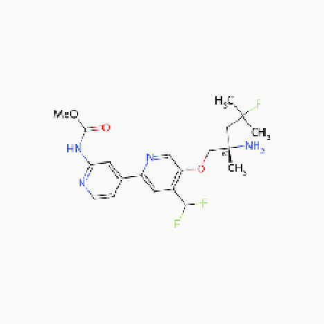 COC(=O)Nc1cc(-c2cc(C(F)F)c(OC[C@@](C)(N)CC(C)(C)F)cn2)ccn1